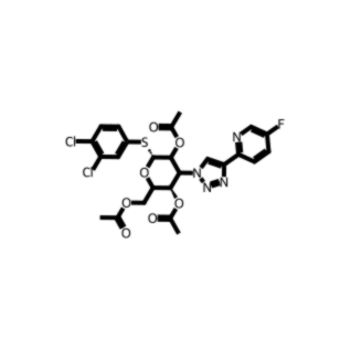 CC(=O)OCC1O[C@H](Sc2ccc(Cl)c(Cl)c2)C(OC(C)=O)C(n2cc(-c3ccc(F)cn3)nn2)[C@H]1OC(C)=O